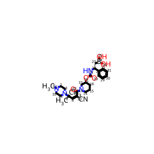 CN1CCN(C(C)(C)C=C(C#N)C(=O)N2CCC[C@H](OC(=O)N[C@H](CB(O)O)c3ccccc3)C2)CC1